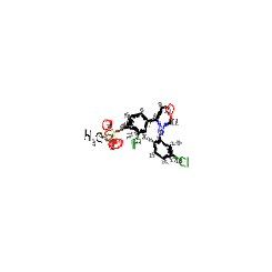 CS(=O)(=O)c1ccc(C2=COCN2c2cccc(Cl)c2)cc1F